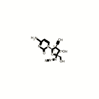 C#C[C@@H]1[C@H](n2ccc(N)nc2=O)O[C@@](CO)(N=[N+]=[N-])[C@H]1O